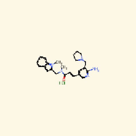 CN(Cc1cc2ccccc2n1C)C(=O)C=Cc1cnc(N)c(CN2CCCC2)c1.Cl